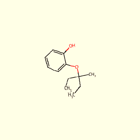 CCC(C)(CC)Oc1ccccc1O